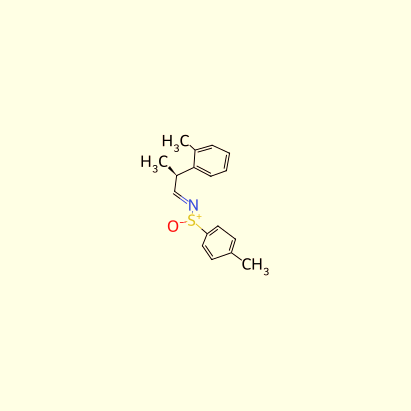 Cc1ccc([S+]([O-])/N=C/[C@@H](C)c2ccccc2C)cc1